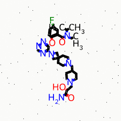 CCN(C(=O)c1cc(F)ccc1Oc1nncnc1N1CC2(CCN(CC3CCN(CC(O)C(N)=O)CC3)CC2)C1)C(C)C